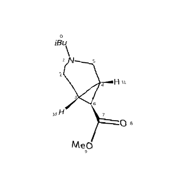 CCC(C)N1C[C@@H]2[C@H](C1)[C@H]2C(=O)OC